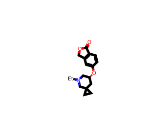 CCN1C[C@@H](Oc2ccc3c(c2)COC3=O)CC2(CC2)C1